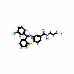 O=C(NCCC(F)(F)F)c1ccc2c(c1)N=C(c1cccc(Cl)c1)c1ccccc1S2